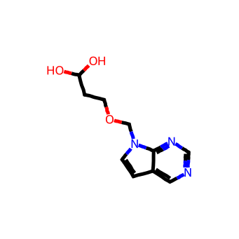 OC(O)CCOCn1ccc2cncnc21